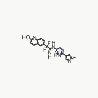 Cn1cc(C(=N)/C=C\C(=N)NC(=N)C(F)(F)c2ccc3nc(O)ccc3c2)cn1